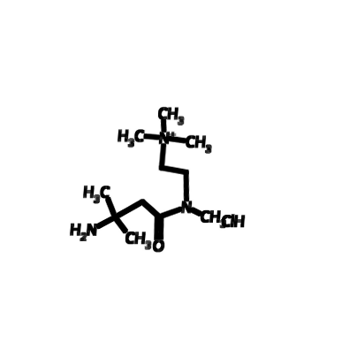 CN(CC[N+](C)(C)C)C(=O)CC(C)(C)N.Cl